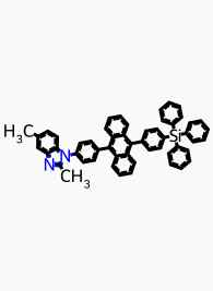 Cc1ccc2c(c1)nc(C)n2-c1ccc(-c2c3ccccc3c(-c3ccc([Si](c4ccccc4)(c4ccccc4)c4ccccc4)cc3)c3ccccc23)cc1